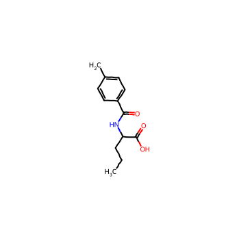 CCCC(NC(=O)c1ccc(C)cc1)C(=O)O